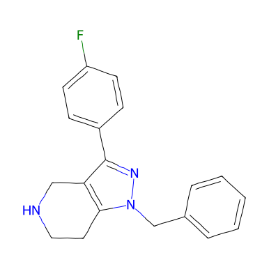 Fc1ccc(-c2nn(Cc3ccccc3)c3c2CNCC3)cc1